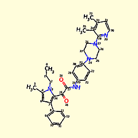 CCCn1c(C)cc(-c2ccccc2)c1C(=O)C(=O)Nc1ccc(N2CCN(c3nccc(C)c3C)CC2)cc1